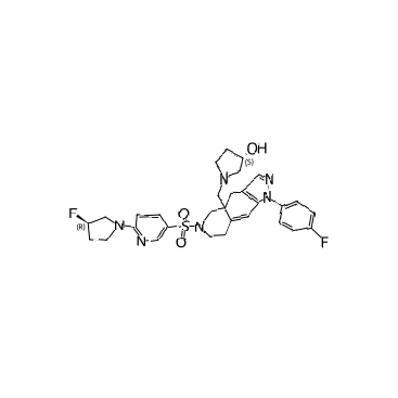 O=S(=O)(c1ccc(N2CC[C@@H](F)C2)nc1)N1CCC2=Cc3c(cnn3-c3ccc(F)cc3)CC2(CN2CC[C@H](O)C2)C1